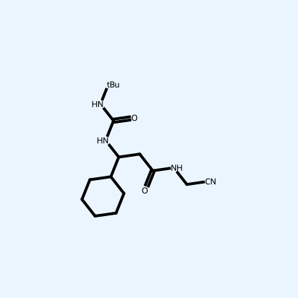 CC(C)(C)NC(=O)NC(CC(=O)NCC#N)C1CCCCC1